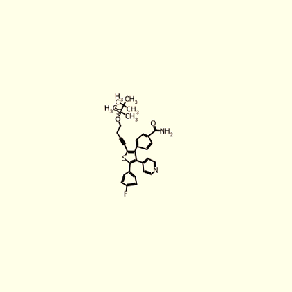 CC(C)(C)[Si](C)(C)OCCC#Cc1sc(-c2ccc(F)cc2)c(-c2ccncc2)c1-c1ccc(C(N)=O)cc1